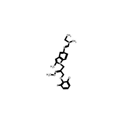 CCN(C)C=Nc1ccc2c(c1)cc(C)n2CC(COc1c(F)cccc1Cl)=NOC